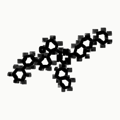 C1=Cc2ccc(-c3nc(-c4ccc5cc(-c6ccccc6)ccc5c4)nc(-c4cccc5oc6c(-c7cccc(-c8ccccc8)c7)cccc6c45)n3)cc2CC1